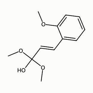 COc1ccccc1C=CC(O)(OC)OC